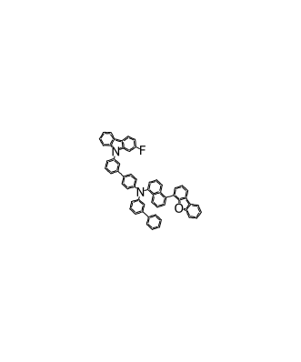 Fc1ccc2c3ccccc3n(-c3cccc(-c4ccc(N(c5cccc(-c6ccccc6)c5)c5cccc6c(-c7cccc8c7oc7ccccc78)cccc56)cc4)c3)c2c1